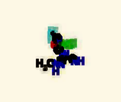 CCNc1cc2c(cn1)c(C1CCNC1)nn2C1CCC(Oc2nccc(C(F)(F)F)c2F)CC1.Cl.Cl.Cl